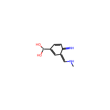 CN/C=C1/C=C(B(O)O)C=CC1=N